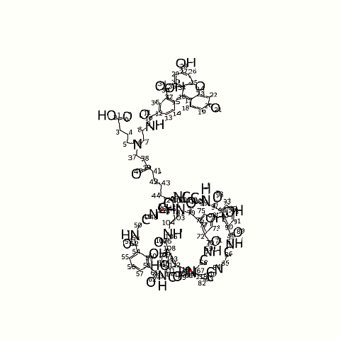 O=C(O)CCCN(CCNC(=O)c1ccc(-c2c3ccc(=O)cc-3oc3cc(O)ccc23)c(C(=O)O)c1)CCC(=O)CCCCCC1CN2CCNC(=O)c3cccc(c3O)C(=O)NCCN(CCNC(=O)c3cccc(c3O)C(=O)N1)CCN1CCNC(=O)c3cccc(c3O)C(=O)NCCN(CCNC(=O)c3cccc(c3O)C(=O)NCC1)CC2